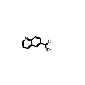 CC(C)C(=O)c1ccc2ncccc2c1